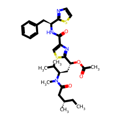 CC[C@H](C)CC(=O)N(C)[C@H](C[C@@H](OC(C)=O)c1nc(C(=O)N[C@@H](Cc2ccccc2)c2nccs2)cs1)C(C)C